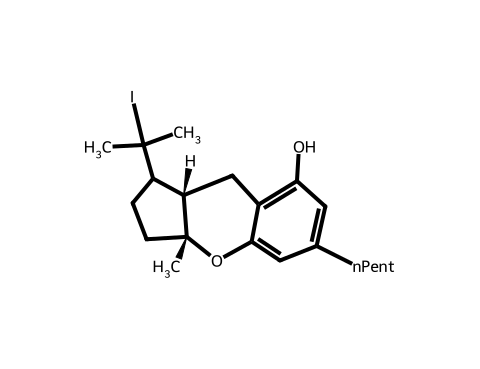 CCCCCc1cc(O)c2c(c1)O[C@]1(C)CCC(C(C)(C)I)[C@@H]1C2